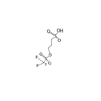 O=S(=O)(O)CCCOS(=O)(=O)C(F)(F)F